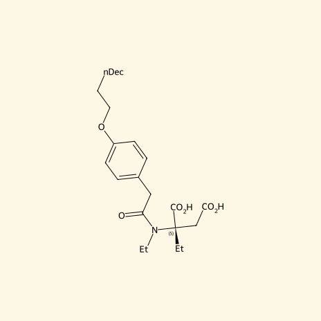 CCCCCCCCCCCCOc1ccc(CC(=O)N(CC)[C@@](CC)(CC(=O)O)C(=O)O)cc1